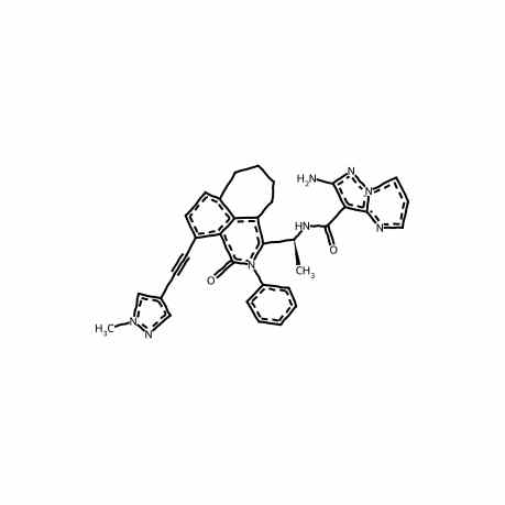 C[C@H](NC(=O)c1c(N)nn2cccnc12)c1c2c3c(ccc(C#Cc4cnn(C)c4)c3c(=O)n1-c1ccccc1)CCCC2